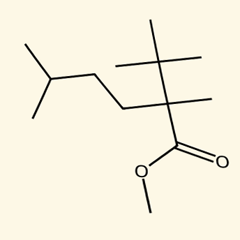 COC(=O)C(C)(CCC(C)C)C(C)(C)C